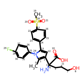 Cc1c(C(N)(CCCO)C(=O)O)cc(-c2ccc(S(C)(=O)=O)cc2)n1-c1ccc(F)cc1